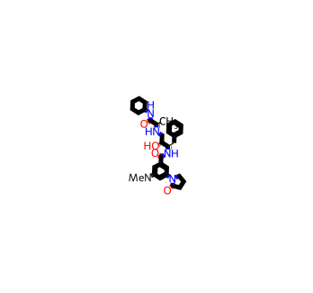 CNc1cc(C(=O)N[C@@H](Cc2ccccc2)[C@H](O)CN[C@@H](C)C(=O)NC2CCCCC2)cc(N2CCCC2=O)c1